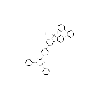 CC1(C)c2ccc(-c3ccc(-c4nc(-c5ccccc5)nc(-c5ccccc5)n4)cc3)cc2-c2ccc3c4ccccc4c4ccccc4c3c21